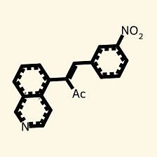 CC(=O)/C(=C\c1cccc([N+](=O)[O-])c1)c1cccc2cnccc12